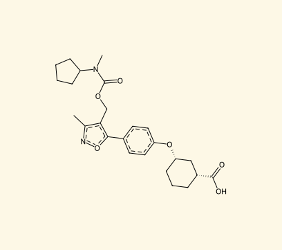 Cc1noc(-c2ccc(O[C@H]3CCC[C@@H](C(=O)O)C3)cc2)c1COC(=O)N(C)C1CCCC1